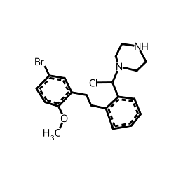 COc1ccc(Br)cc1CCc1ccccc1C(Cl)N1CCNCC1